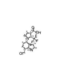 O=Cc1ccc(-n2ncc(C(=O)O)c2C(F)(F)F)n2ccnc12